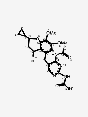 COc1cc(Cc2cnc(NC(=O)C(C)C)nc2NC(=O)C(C)C)c2c(c1OC)OC(C1CC1)CC2O